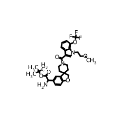 COCCn1cc(C(=O)N2CCC3(CC2)COc2ccc(C(N)C(=O)OC(C)(C)C)cc23)c2cccc(OC(F)(F)F)c21